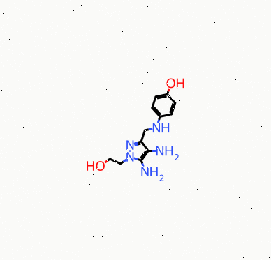 Nc1c(CNc2ccc(O)cc2)nn(CCO)c1N